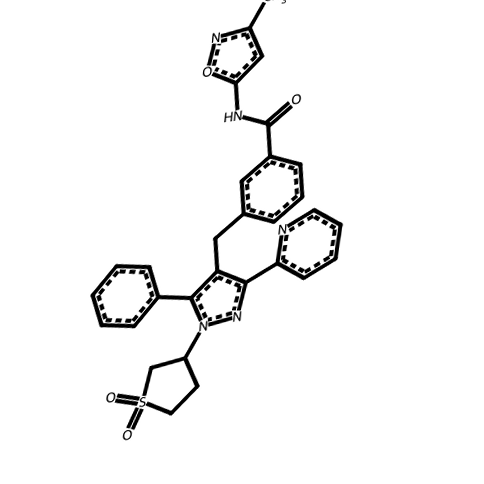 Cc1cc(NC(=O)c2cccc(Cc3c(-c4ccccn4)nn(C4CCS(=O)(=O)C4)c3-c3ccccc3)c2)on1